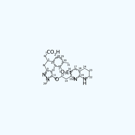 CCOc1cc(C(CC(=O)O)Cc2cc(OCCc3ccc4c(n3)NCCC4)n(C)n2)ccc1C